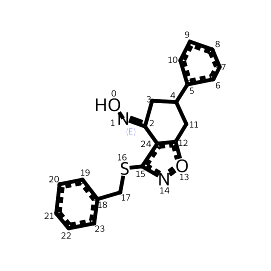 O/N=C1\CC(c2ccccc2)Cc2onc(SCc3ccccc3)c21